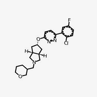 Fc1ccc(Cl)c(-c2ccc(O[C@@H]3C[C@@H]4CN(CC5CCCOC5)C[C@@H]4C3)nn2)c1